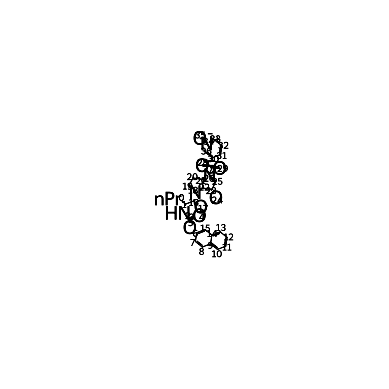 CCCC(NC(=O)Oc1ccc2ccccc2c1)C(=O)N1CCC2C1C(=O)CN2S(=O)(=O)c1ccc[n+]([O-])c1